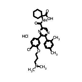 Cc1ccc(-c2ncc(C(=O)NC3(C(=O)O)CCCCC3)nc2-c2ccc(Cl)c(OCCCN(C)C)c2)c(C)c1.Cl